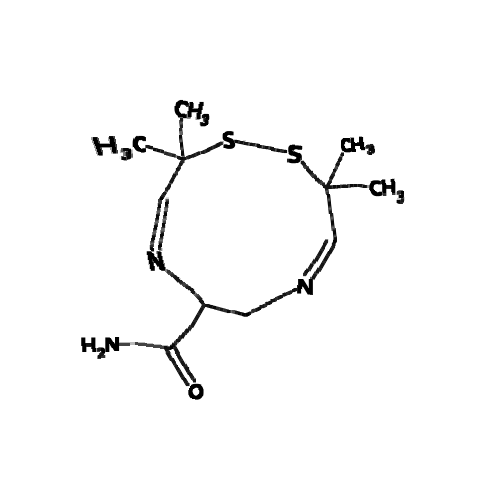 CC1(C)C=NCC(C(N)=O)N=CC(C)(C)SS1